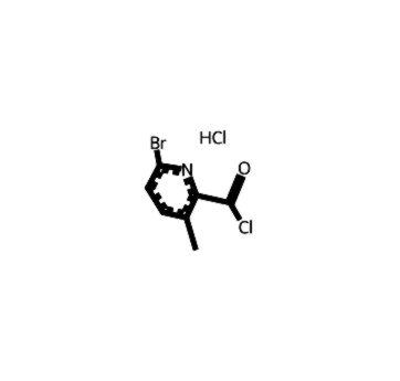 Cc1ccc(Br)nc1C(=O)Cl.Cl